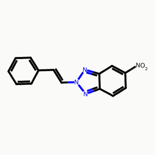 O=[N+]([O-])c1ccc2nn(C=Cc3ccccc3)nc2c1